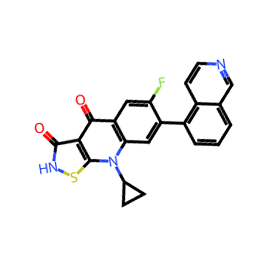 O=c1[nH]sc2c1c(=O)c1cc(F)c(-c3cccc4cnccc34)cc1n2C1CC1